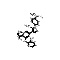 Cc1c(-c2cc(Sc3ncccc3F)c3c(C#N)cnn3c2)cnn1C1CCC(N(C)C)CC1